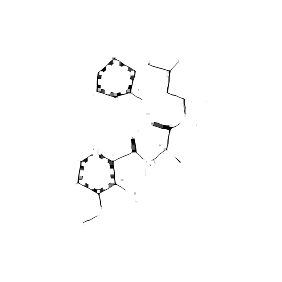 COc1ccnc(C(=O)N[C@H](C)C(=O)O[C@@H](C)[C@H](Oc2ccccc2)C(C)C)c1O